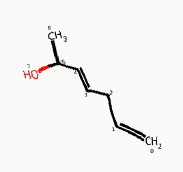 C=CC/C=C/C(C)O